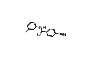 Cc1cccc(NC(=O)c2ccc(C#N)cc2)c1